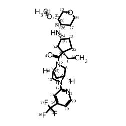 CC[C@]1(C(=O)N2C[C@@H]3C[C@H]2CN3c2cc(C(F)(F)F)ccn2)CC[C@@H](N[C@H]2CCOC[C@H]2OC)C1